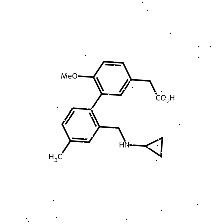 COc1ccc(CC(=O)O)cc1-c1ccc(C)cc1CNC1CC1